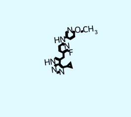 CCOc1ccc(Nc2ccc(Cc3c[nH]c4ncnc(C5CC5)c34)c(F)n2)cn1